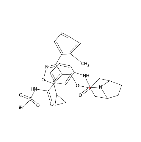 Cc1ccccc1-c1noc(C2CC2)c1COC1CC2CCC(C1)N2C(=O)Nc1cccc(C(=O)NS(=O)(=O)C(C)C)c1